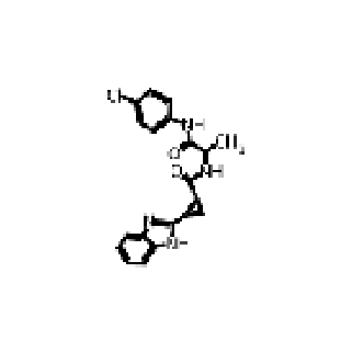 CC(NC(=O)C1CC1c1nc2ccccc2[nH]1)C(=O)Nc1ccc(Cl)cc1